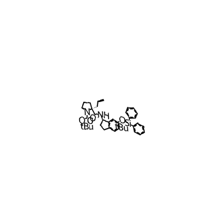 C=CC[C@@]1(C(=O)N[C@@H]2CCc3ccc(O[Si](c4ccccc4)(c4ccccc4)C(C)(C)C)cc32)CCCN1C(=O)OC(C)(C)C